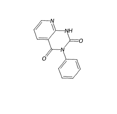 O=c1[nH]c2ncccc2c(=O)n1-c1ccccc1